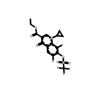 CCOC(=O)c1cn(C2CC2)c2c(F)c(OS(=O)(=O)C(F)(F)F)c(F)cc2c1=O